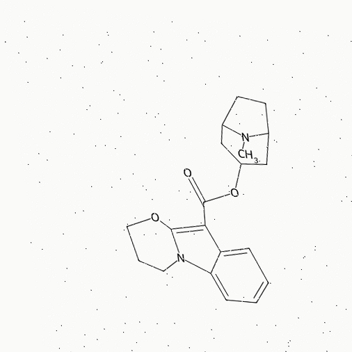 CN1C2CCC1CC(OC(=O)c1c3n(c4ccccc14)CCCO3)C2